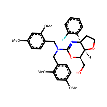 COc1ccc(CN(Cc2ccc(OC)cc2OC)C2=N[C@@]3(c4ccccc4F)CCO[C@H]3[C@@H](CO)O2)c(OC)c1